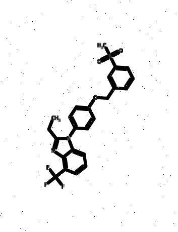 CCc1nc2c(C(F)(F)F)cccc2n1-c1ccc(OCc2cccc(S(C)(=O)=O)c2)cc1